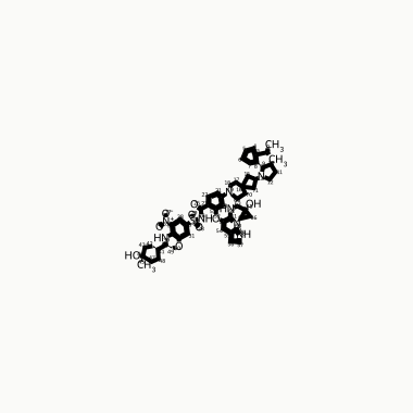 CC(C)c1ccccc1[C@@H]1CCCN1C1CC2(CCN(c3ccc(C(=O)NS(=O)(=O)c4cc5c(c([N+](=O)[O-])c4)N[C@@H]([C@H]4CC[C@](C)(O)CC4)CO5)c(Oc4cc5cc[nH]c5nc4NCC4(O)CC4)c3)CC2)C1